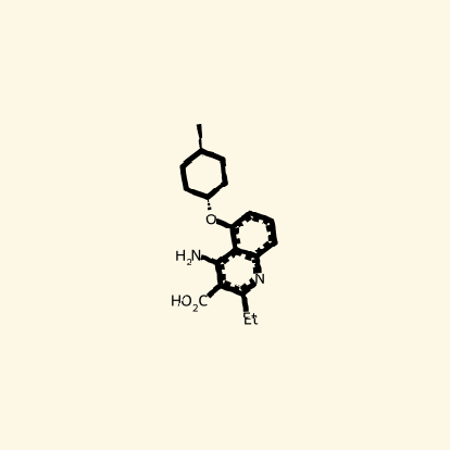 CCc1nc2cccc(O[C@H]3CC[C@H](C)CC3)c2c(N)c1C(=O)O